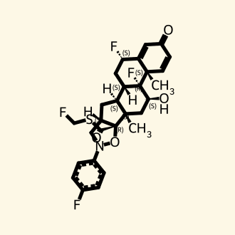 C[C@]12C=CC(=O)C=C1[C@@H](F)C[C@H]1[C@@H]3C[C@H]4CN(c5ccc(F)cc5)O[C@@]4(C(=O)SCF)[C@@]3(C)C[C@H](O)[C@@]12F